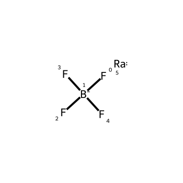 F[B-](F)(F)F.[Ra]